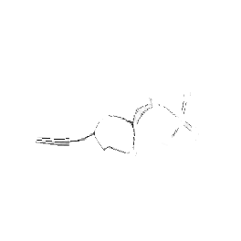 C#CC1COC(=NS(=O)(=O)F)O1